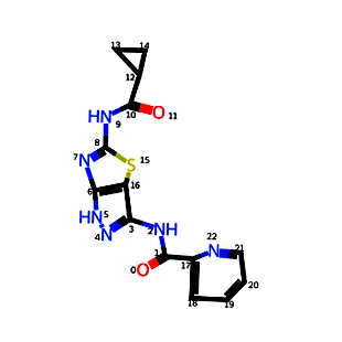 O=C(Nc1n[nH]c2nc(NC(=O)C3CC3)sc12)c1ccccn1